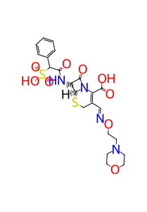 O=C(O)C1=C(C=NOCCN2CCOCC2)CS[C@H]2[C@H](NC(=O)C(c3ccccc3)S(=O)(=O)O)C(=O)N12